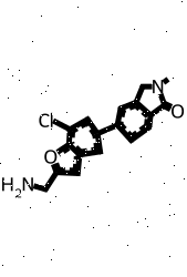 CN1Cc2cc(-c3cc(Cl)c4oc(CN)cc4c3)ccc2C1=O